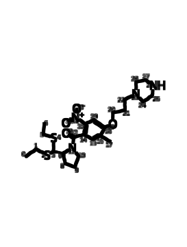 CCSC(SCC)[C@@H]1CCCN1C(=O)c1cc(C)c(OCCCN2CCNCC2)cc1[N+](=O)[O-]